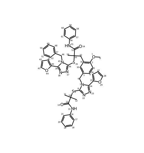 COc1ccc(Cn2c(SC(C)(C)C(=O)Nc3ccccc3)nnc2-c2ccco2)cc1CC(C)(Sc1nnc(-c2ccco2)n1Cc1ccccc1)C(=O)Nc1ccccc1